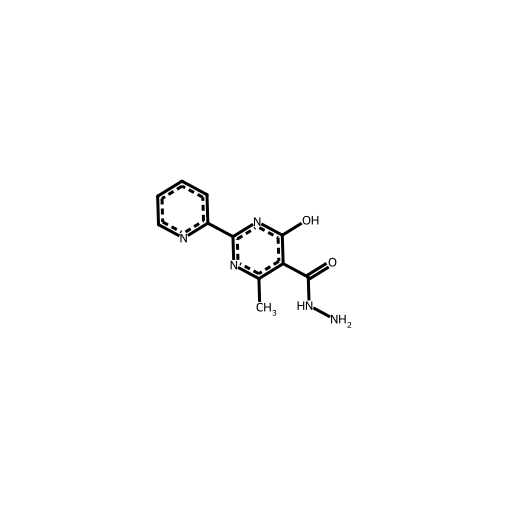 Cc1nc(-c2ccccn2)nc(O)c1C(=O)NN